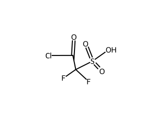 O=C(Cl)C(F)(F)S(=O)(=O)O